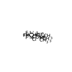 C[C@@H]([C@@H]1CC[C@H](c2ccc(C(F)(F)F)cc2Cl)O1)C(C)(C)C